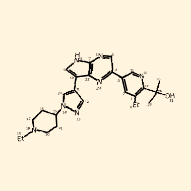 CCc1cc(-c2cnc3[nH]cc(-c4cnn(C5CCN(CC)CC5)c4)c3n2)cnc1C(C)(C)O